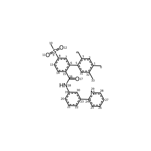 Cc1cc(C)c(-c2cc(S(C)(=O)=O)ccc2C(=O)Nc2cccc(-c3ccccn3)c2)cc1C